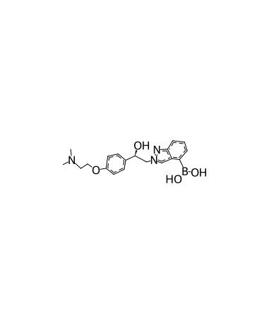 CN(C)CCOc1ccc([C@@H](O)Cn2cc3c(B(O)O)cccc3n2)cc1